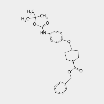 CC(C)(C)OC(=O)Nc1ccc(OC2CCN(C(=O)OCc3ccccc3)CC2)cc1